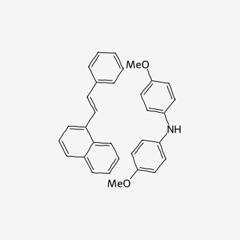 C(=Cc1cccc2ccccc12)c1ccccc1.COc1ccc(Nc2ccc(OC)cc2)cc1